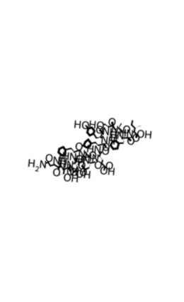 CC[C@H](C)[C@H](NC(=O)[C@H](Cc1ccccc1)NC(=O)[C@H](C)NC(=O)[C@H](CO)NC(=O)[C@H](Cc1ccc(O)cc1)NC(=O)[C@H](Cc1ccccc1)NC(=O)[C@H](CCC(=O)O)NC(=O)[C@H](CC(=O)O)NC(=O)CNC(=O)[C@H](Cc1ccccc1)NC(=O)[C@H](CC(=O)O)NC(=O)[C@@H](NC(=O)[C@@H](N)CC(N)=O)[C@@H](C)O)C(=O)O